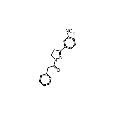 O=C(Cc1ccccc1)N1CCC(c2cccc([N+](=O)[O-])c2)=N1